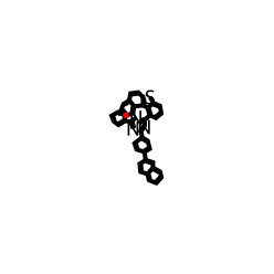 c1ccc(-c2nc(-c3ccc(-c4ccc5ccccc5c4)cc3)nc(-c3cccc4sc5ccc6ccccc6c5c34)n2)cc1